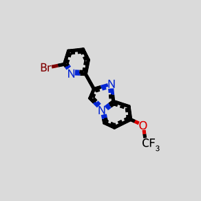 FC(F)(F)Oc1ccn2cc(-c3cccc(Br)n3)nc2c1